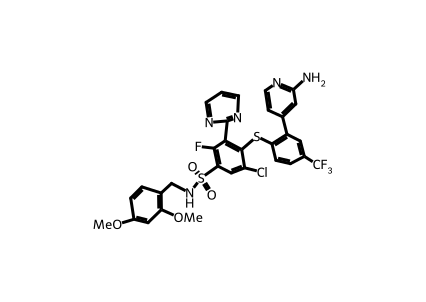 COc1ccc(CNS(=O)(=O)c2cc(Cl)c(Sc3ccc(C(F)(F)F)cc3-c3ccnc(N)c3)c(-c3ncccn3)c2F)c(OC)c1